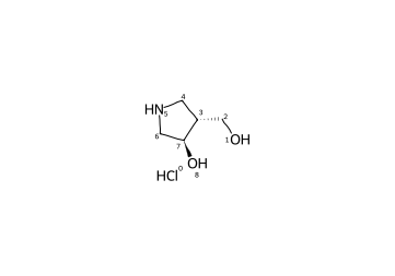 Cl.OC[C@H]1CNC[C@@H]1O